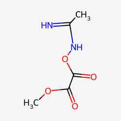 COC(=O)C(=O)ONC(C)=N